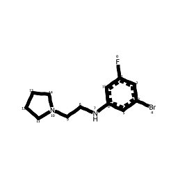 Fc1cc(Br)cc(NCCN2CCCC2)c1